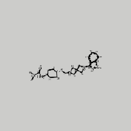 CN(C)C(=O)N[C@H]1CC[C@H](CCN2CC3(C2)CN(c2nsc4ccccc24)C3)CC1